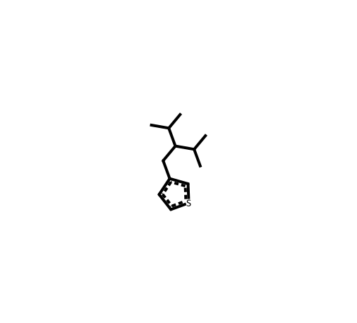 CC(C)C(Cc1ccsc1)C(C)C